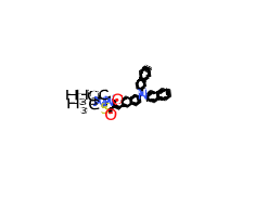 CCN(C)C(=S)N(CC)C(=O)/C(C=O)=C\c1ccc2cc(N(c3ccc4ccccc4c3)c3ccc4ccccc4c3)ccc2c1